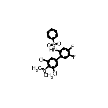 CN(C)c1c(Cl)cc(-c2cc(F)c(F)cc2NS(=O)(=O)c2ccccc2)cc1Cl